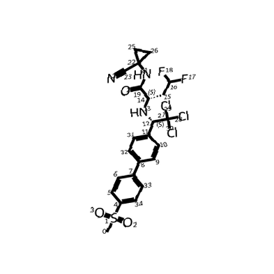 CS(=O)(=O)c1ccc(-c2ccc([C@H](N[C@@H](CC(F)F)C(=O)NC3(C#N)CC3)C(Cl)(Cl)Cl)cc2)cc1